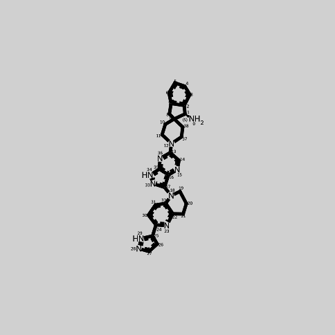 N[C@@H]1c2ccccc2CC12CCN(c1cnc3c(N4CCCc5nc(-c6ccn[nH]6)ccc54)n[nH]c3n1)CC2